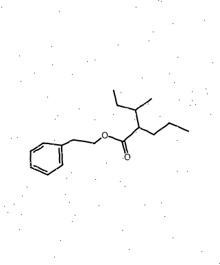 CCCC(C(=O)OCCc1ccccc1)C(C)CC